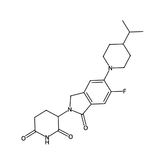 CC(C)C1CCN(c2cc3c(cc2F)C(=O)N(C2CCC(=O)NC2=O)C3)CC1